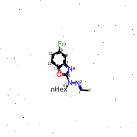 C/C=N/N(CCCCCC)c1nc2cc(F)ccc2o1